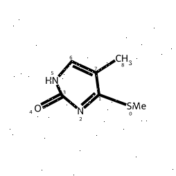 CSc1nc(=O)[nH]cc1C